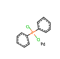 Cl[P](Cl)(c1ccccc1)c1ccccc1.[Pd]